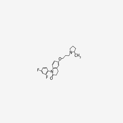 C[C@@H]1CCCN1CCCOc1ccc2c(c1)CCC(=O)N2c1ccc(F)cc1F